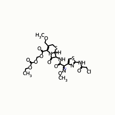 CCOC(=O)OCOC(=O)C1=C(COC)CS[C@@H]2C(NC(=O)/C(=N\OC)c3csc(NC(=O)CCl)n3)C(=O)N12